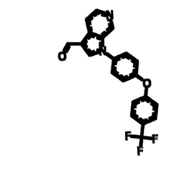 O=Cc1cn(-c2ccc(Oc3ccc(C(F)(F)F)cc3)cc2)c2cnccc12